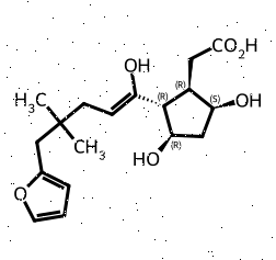 CC(C)(CC=C(O)[C@@H]1[C@@H](CC(=O)O)[C@@H](O)C[C@H]1O)Cc1ccco1